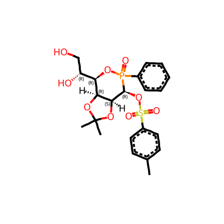 Cc1ccc(S(=O)(=O)O[C@H]2[C@H]3OC(C)(C)O[C@H]3[C@@H]([C@H](O)CO)OP2(=O)c2ccccc2)cc1